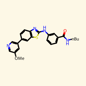 CCCCNC(=O)c1cccc(Nc2nc3ccc(-c4cncc(OC)c4)cc3s2)c1